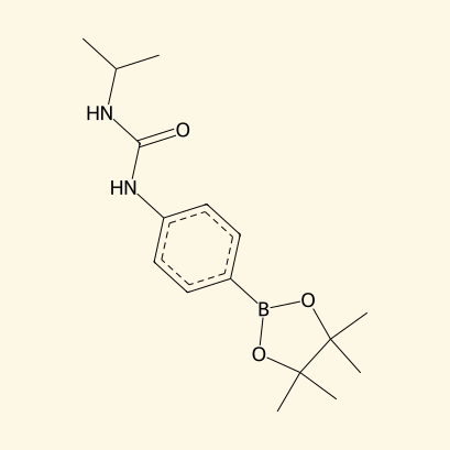 CC(C)NC(=O)Nc1ccc(B2OC(C)(C)C(C)(C)O2)cc1